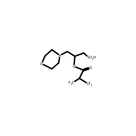 O=C(OC(CN1CCOCC1)CS(=O)(=O)O)C(C(F)(F)F)C(F)(F)F